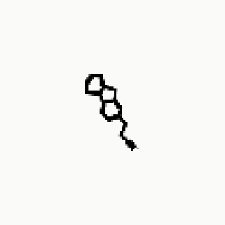 [C]#CCCc1ccc2c(c1)Cc1ccccc1-2